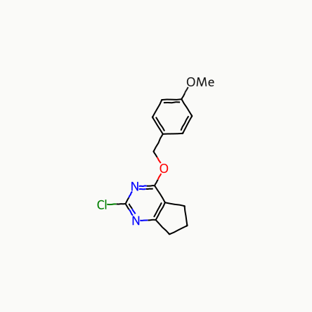 COc1ccc(COc2nc(Cl)nc3c2CCC3)cc1